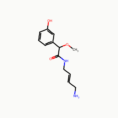 COC(C(=O)NC/C=C/CN)c1cccc(O)c1